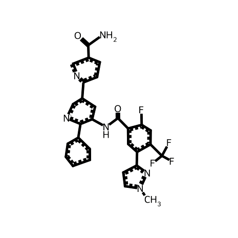 Cn1ccc(-c2cc(C(=O)Nc3cc(-c4ccc(C(N)=O)cn4)cnc3-c3ccccc3)c(F)cc2C(F)(F)F)n1